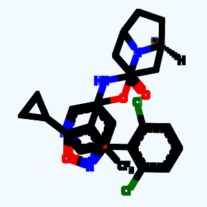 O=C(Nc1cncc(C(F)(F)F)c1)N1C2CC[C@H]1CC(OCc1c(-c3c(Cl)cccc3Cl)noc1C1CC1)C2